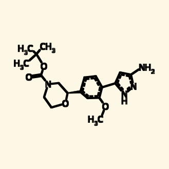 COc1cc([C@@H]2CN(C(=O)OC(C)(C)C)CCO2)ccc1-c1cc(N)n[nH]1